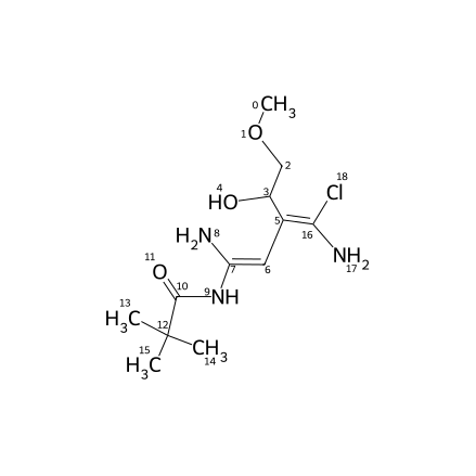 COCC(O)C(/C=C(\N)NC(=O)C(C)(C)C)=C(/N)Cl